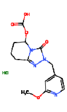 COc1cc(Cn2nc3n(c2=O)C(OC(=O)O)CCC3)ccn1.Cl